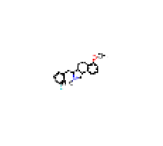 COc1cccc2c1CCC1C2CN(C)C1Cc1cccc(F)c1